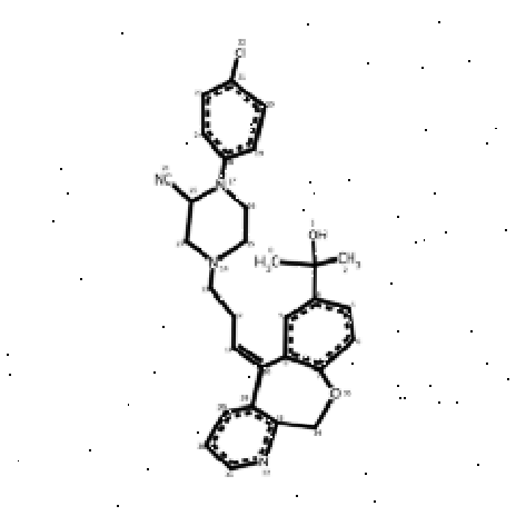 CC(C)(O)c1ccc2c(c1)C(=CCCN1CCN(c3ccc(Cl)cc3)C(C#N)C1)c1cccnc1CO2